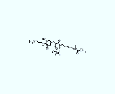 CC(=O)NCCCCCCNC(=O)C(Cc1cc(Br)c(OCCCN)c(Br)c1)=NOC(=O)C(F)(F)F